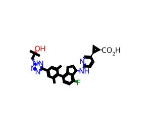 Cc1cc(-c2nnn(CC(C)(C)O)n2)cc(C)c1-c1ccc(F)c2c1CC[C@H]2Nc1ccc([C@H]2C[C@@H]2C(=O)O)cn1